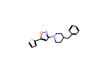 c1ccc(CC2CCN(c3cc(-c4cccs4)on3)CC2)cc1